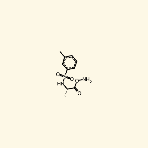 Cc1cccc(S(=O)(=O)N[C@@H](C)C(=O)ON)c1